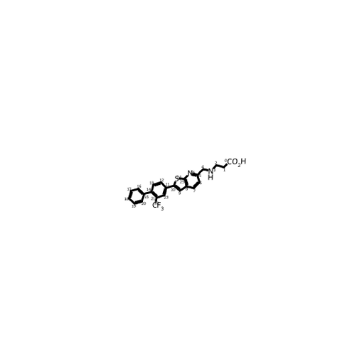 O=C(O)CCNCc1ccc2cc(-c3ccc(-c4ccccc4)c(C(F)(F)F)c3)sc2n1